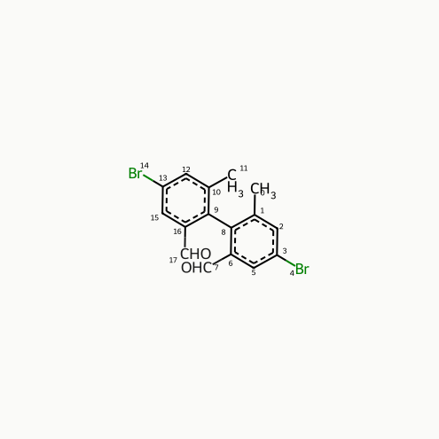 Cc1cc(Br)cc(C=O)c1-c1c(C)cc(Br)cc1C=O